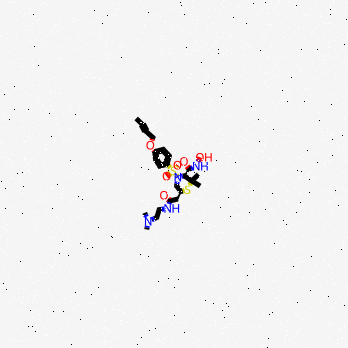 CC#CCOc1ccc(S(=O)(=O)N2C[C@H](CC(=O)NCCN(C)C)SC(C)(C)[C@@H]2C(=O)NO)cc1